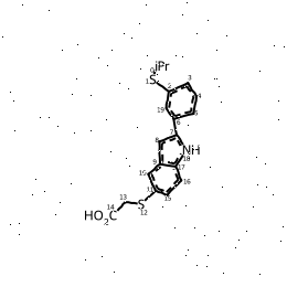 CC(C)Sc1cccc(-c2cc3cc(SCC(=O)O)ccc3[nH]2)c1